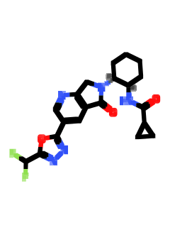 O=C(N[C@@H]1CCCC[C@H]1N1Cc2ncc(-c3nnc(C(F)F)o3)cc2C1=O)C1CC1